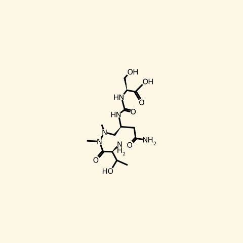 CC(O)[C@H](N)C(=O)N(C)N(C)C[C@H](CC(N)=O)NC(=O)N[C@@H](CO)C(=O)O